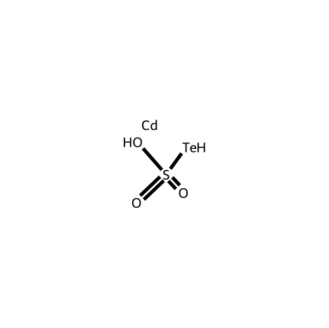 O=S(=O)(O)[TeH].[Cd]